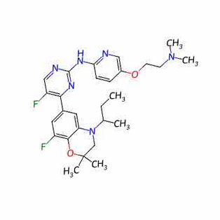 CCC(C)N1CC(C)(C)Oc2c(F)cc(-c3nc(Nc4ccc(OCCN(C)C)cn4)ncc3F)cc21